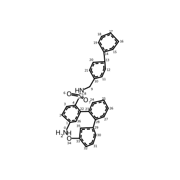 Nc1ccc(S(=O)(=O)NCc2ccc(-c3ccccc3)cc2)c(-c2ccccc2-c2cccc(O)c2)c1